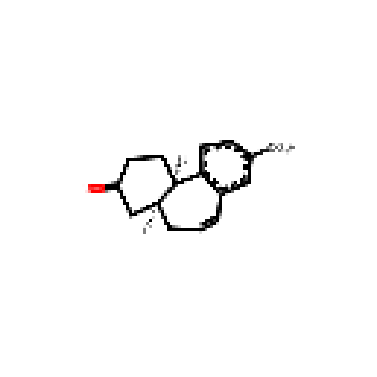 CC[C@@]12CCC(=O)C[C@@H]1CC=Cc1cc(C(=O)O)ccc12